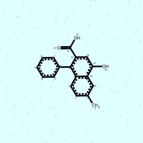 Cc1ccc2c(-c3ccccc3)c(C(=O)O)cc(O)c2c1